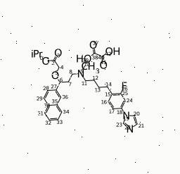 CC(C)OC(=O)COC(CCN(C)CCCCc1ccc(-n2ccnc2)cc1F)c1ccc2ccccc2c1.O=C(O)C(=O)O